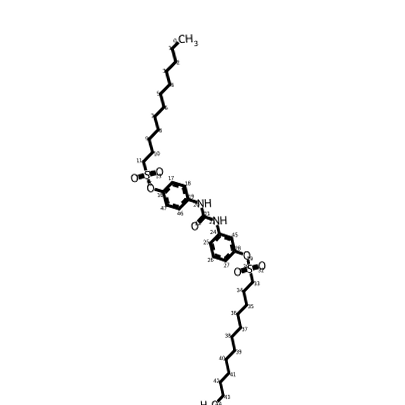 CCCCCCCCCCCCS(=O)(=O)Oc1ccc(NC(=O)Nc2cccc(OS(=O)(=O)CCCCCCCCCCCC)c2)cc1